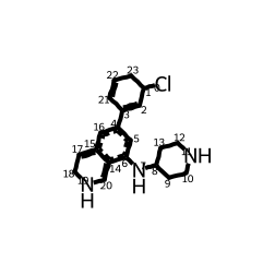 ClC1C=C(c2cc(NC3CCNCC3)c3c(c2)=CCNC=3)C=CC1